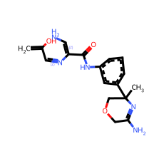 C=C(O)/C=N\C(=C/N)C(=O)Nc1cccc(C2(C)COCC(N)=N2)c1